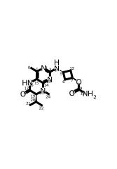 Cc1nc(N[C@H]2C[C@H](OC(N)=O)C2)nc2c1NC(=O)[C@H](C(C)C)N2C